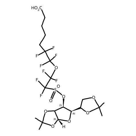 CC1(C)OCC([C@H]2O[C@@H]3OC(C)(C)OC3[C@H]2OS(=O)(=O)C(F)(F)C(F)(F)OC(F)(F)C(F)(F)CCCCC(=O)O)O1